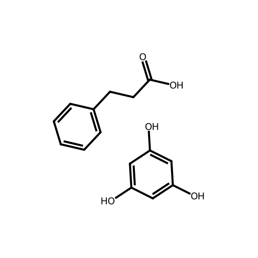 O=C(O)CCc1ccccc1.Oc1cc(O)cc(O)c1